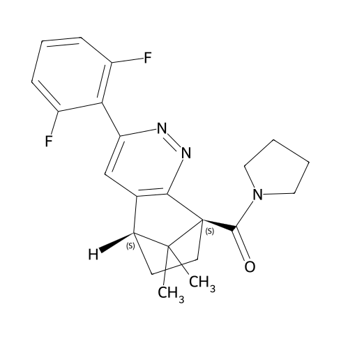 CC1(C)[C@@H]2CC[C@@]1(C(=O)N1CCCC1)c1nnc(-c3c(F)cccc3F)cc12